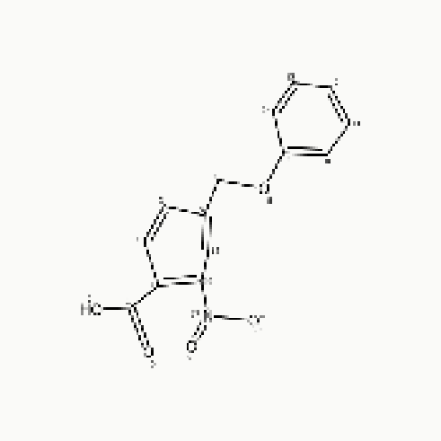 O=C(O)c1ccc(COc2ccccc2)cc1[N+](=O)[O-]